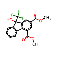 COC(=O)c1cc(C(=O)OC)c2c(c1)C(O)(C(F)(F)F)c1ccccc1-2